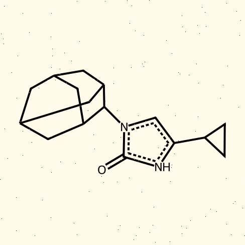 O=c1[nH]c(C2CC2)cn1C1C2CC3CC(C2)CC1C3